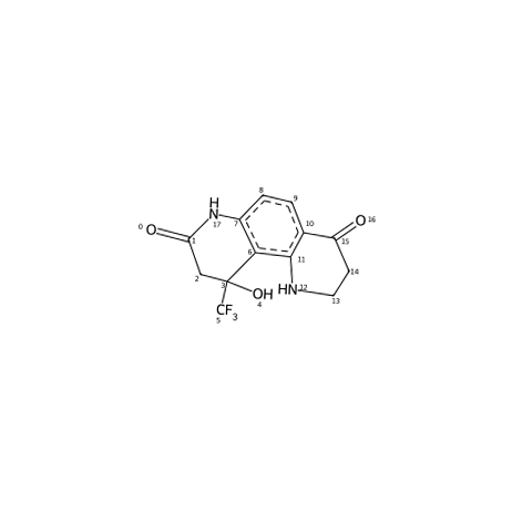 O=C1CC(O)(C(F)(F)F)c2c(ccc3c2NCCC3=O)N1